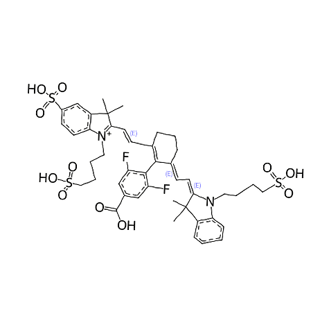 CC1(C)C(/C=C/C2=C(c3c(F)cc(C(=O)O)cc3F)C(=C/C=C3/N(CCCCS(=O)(=O)O)c4ccccc4C3(C)C)/CCC2)=[N+](CCCCS(=O)(=O)O)c2ccc(S(=O)(=O)O)cc21